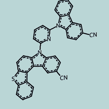 N#Cc1ccc2c(c1)c1ccccc1n2-c1cccc(-n2c3ccc(C#N)cc3c3c4c(ccc32)sc2ccccc24)n1